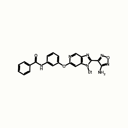 CCn1c(-c2nonc2N)nc2cnc(Oc3cccc(NC(=O)c4ccccc4)c3)cc21